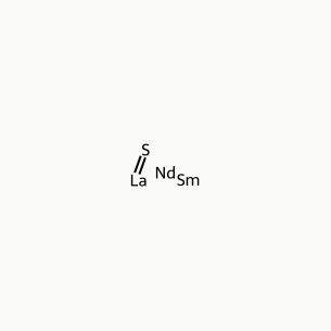 [Nd].[S]=[La].[Sm]